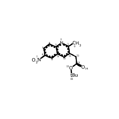 Cc1nc2ccc([N+](=O)[O-])cc2cc1CC(=O)OC(C)(C)C